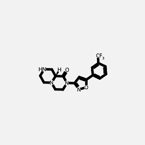 O=C1[C@H]2CNCCN2CCN1c1cc(-c2cccc(C(F)(F)F)c2)on1